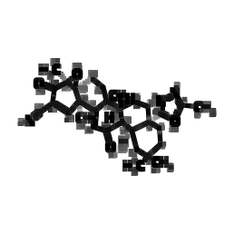 Cc1nnc([C@]23CCC(C)(C)C[C@H]2[C@H]2C(=O)C=C4[C@@]5(C)C=C(C#N)C(=O)[C@@]6(C)O[C@@]56CC[C@@]4(C)[C@]2(C)CC3)o1